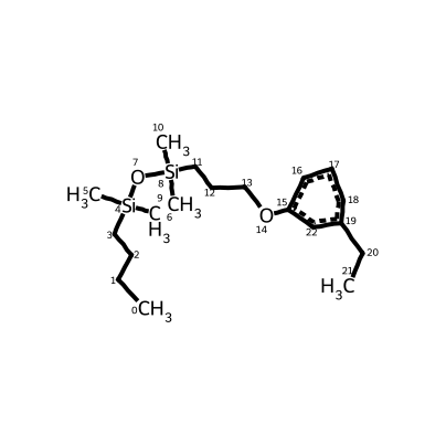 CCCC[Si](C)(C)O[Si](C)(C)CCCOc1cccc(CC)c1